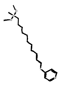 CO[Si](C)(CCCCCCCCCCCSc1ccncc1)OC